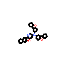 c1ccc2cc3c(cc2c1)oc1cc(N(c2ccc4oc5ccccc5c4c2)c2ccc4oc5ccccc5c4c2)cnc13